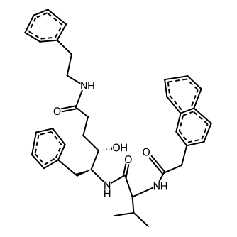 CC(C)C(NC(=O)Cc1ccc2ccccc2c1)C(=O)N[C@@H](Cc1ccccc1)[C@@H](O)CCC(=O)NCCc1ccccc1